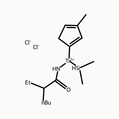 CCCCC(CC)C(=O)[NH][Ti+2]([C]1=CC(C)=CC1)[SiH](C)C.[Cl-].[Cl-]